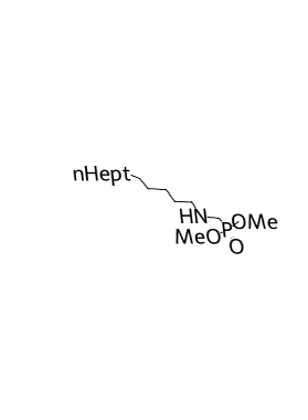 CCCCCCCCCCCCNCP(=O)(OC)OC